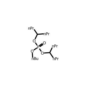 CCCCOP(=O)(OC(CCC)CCC)OC(CCC)CCC